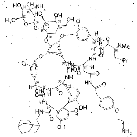 CN[C@H](CC(C)C)C(=O)N[C@H]1C(=O)N[C@@H](CC(=O)NC(=O)Cc2ccc(OCCN)cc2)C(=O)N[C@H]2C(=O)N[C@H]3C(=O)N[C@H](C(=O)N[C@H](C(=O)NC4C5CC6CC(C5)CC4C6)c4cc(O)cc(O)c4-c4cc3ccc4O)[C@H](O)c3ccc(c(Cl)c3)Oc3cc2cc(c3O[C@@H]2C[C@H](CO)[C@@H](O)[C@H](O)[C@H]2O[C@H]2C[C@](C)(N)[C@H](O)[C@H](C)O2)Oc2ccc(cc2Cl)[C@H]1O